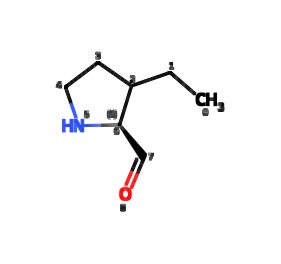 CCC1CCN[C@@H]1C=O